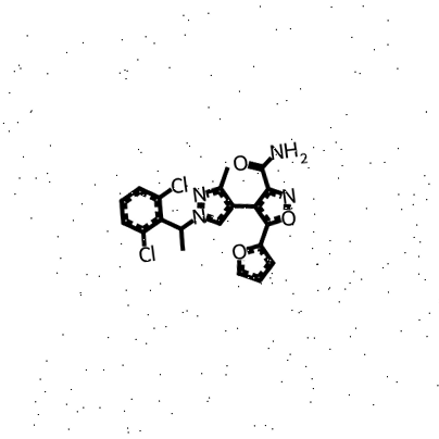 Cc1nn(C(C)c2c(Cl)cccc2Cl)cc1-c1c(C(N)=O)noc1-c1ccco1